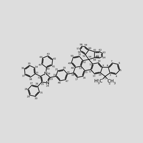 CC1(C)c2ccccc2-c2cc3c(cc21)-c1ccc(-c2ccc(-c4nc(-c5ccccc5)c(-c5ccccc5)n4-c4ccccc4)cc2)c2cccc(c12)C31c2ccccc2-c2ccccc21